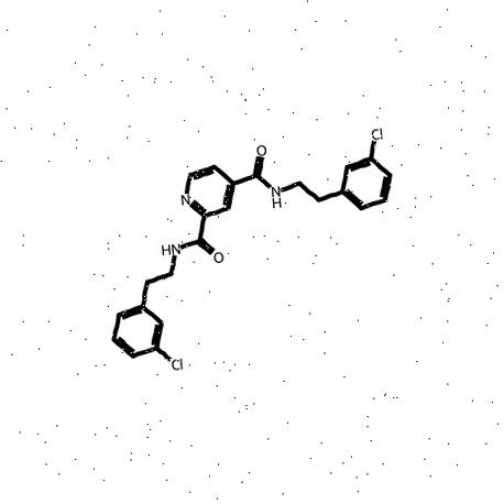 O=C(NCCc1cccc(Cl)c1)c1ccnc(C(=O)NCCc2cccc(Cl)c2)c1